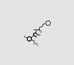 COc1ccc(F)cc1-c1cc(NC(=O)CCCN2CCCCC2)[nH]n1